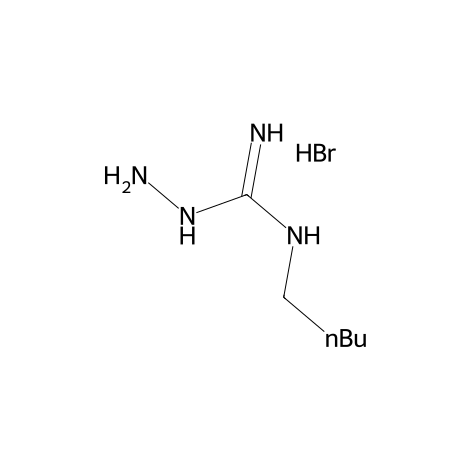 Br.CCCCCNC(=N)NN